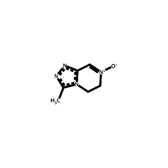 Cc1nnc2n1CC[N+]([O-])=C2